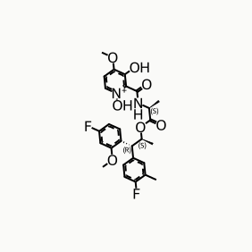 COc1cc(F)ccc1[C@@H](c1ccc(F)c(C)c1)[C@H](C)OC(=O)[C@H](C)NC(=O)c1c(O)c(OC)cc[n+]1O